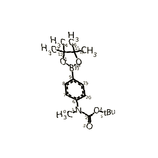 CN(C(=O)OC(C)(C)C)c1ccc(B2OC(C)(C)C(C)(C)O2)cc1